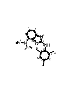 CCCN(CCC)c1cccc2nc(Nc3c(C)cc(C)cc3C)oc12